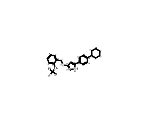 FC(F)(F)Oc1ccccc1COc1cc(-c2ccc(C3CC[CH]CC3)cc2)[nH]n1